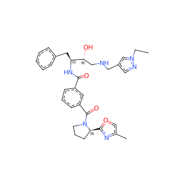 CCn1cc(CNC[C@@H](O)[C@H](Cc2ccccc2)NC(=O)c2cccc(C(=O)N3CCC[C@@H]3c3nc(C)co3)c2)cn1